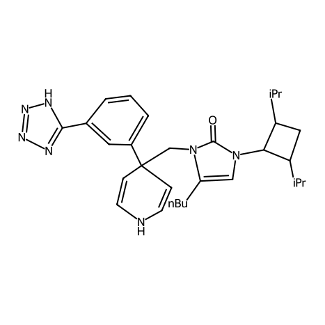 CCCCc1cn(C2C(C(C)C)CC2C(C)C)c(=O)n1CC1(c2cccc(-c3nnn[nH]3)c2)C=CNC=C1